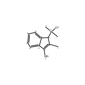 CCCC1=C(C)C([Si](C)(C)Cl)c2ccccc21